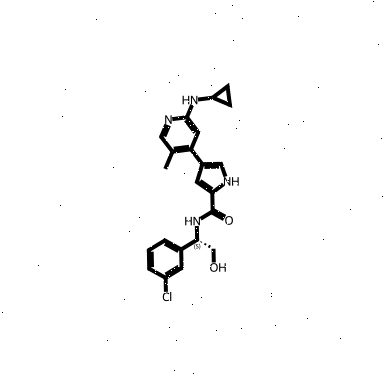 Cc1cnc(NC2CC2)cc1-c1c[nH]c(C(=O)N[C@H](CO)c2cccc(Cl)c2)c1